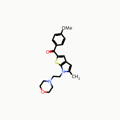 COc1ccc(C(=O)c2cc3cc(C)n(CCN4CCOCC4)c3s2)cc1